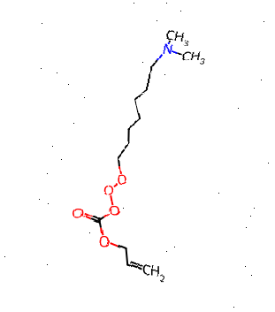 C=CCOC(=O)OOOCCCCCCCN(C)C